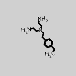 C=Cc1ccc(CCN(CCN)CCN)cc1